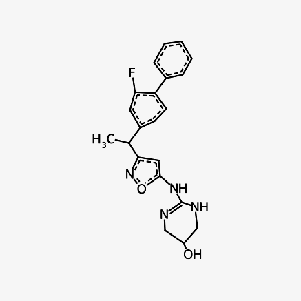 CC(c1ccc(-c2ccccc2)c(F)c1)c1cc(NC2=NCC(O)CN2)on1